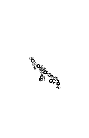 CC(=O)c1ccc(CN2CCN(C3CC4(CCN(c5ccc(C(=O)NS(=O)(=O)c6ccc(NC[C@H]7CC[C@](C)(O)CC7)c([N+](=O)[O-])c6)c(Oc6cnc7[nH]ccc7c6)c5)CC4)C3)C(c3ccccc3C(C)C)C2)cc1